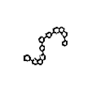 c1ccc(-c2ccc3ccc4ccc(-c5ccc(-c6cccc(-c7ccc(-c8ccc9ccc%10ccc(-c%11ccccc%11)nc%10c9n8)cc7)c6)cc5)nc4c3n2)cc1